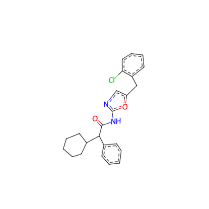 O=C(Nc1ncc(Cc2ccccc2Cl)o1)C(c1ccccc1)C1CCCCC1